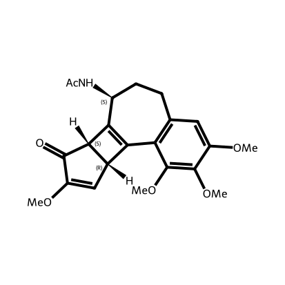 COC1=C[C@H]2C3=C([C@H]2C1=O)[C@@H](NC(C)=O)CCc1cc(OC)c(OC)c(OC)c13